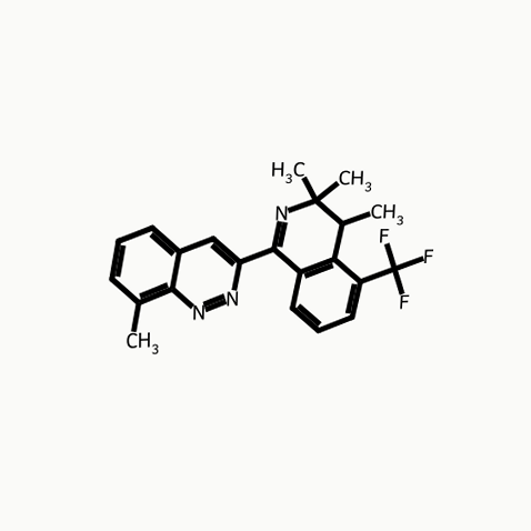 Cc1cccc2cc(C3=NC(C)(C)C(C)c4c3cccc4C(F)(F)F)nnc12